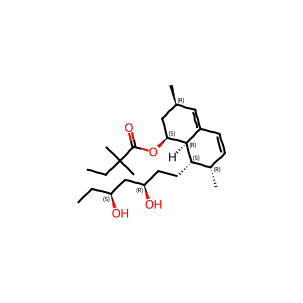 CC[C@H](O)C[C@H](O)CC[C@@H]1[C@@H]2C(=C[C@H](C)C[C@@H]2OC(=O)C(C)(C)CC)C=C[C@@H]1C